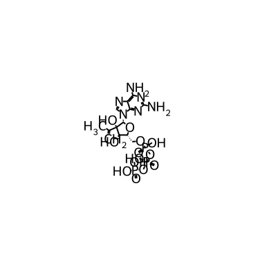 C=C(C)[C@@]1(O)[C@H](O)[C@@H](COP(=O)(O)OP(=O)(O)OP(=O)(O)O)O[C@H]1n1cnc2c(N)nc(N)nc21